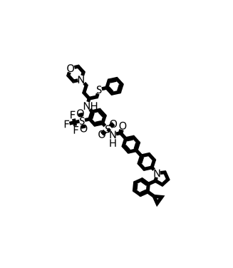 O=C(NS(=O)(=O)c1ccc(NC(CCN2CCOCC2)CSc2ccccc2)c(S(=O)(=O)C(F)(F)F)c1)c1ccc(C2=CCC(N3CCCC3c3ccccc3C3CC3)CC2)cc1